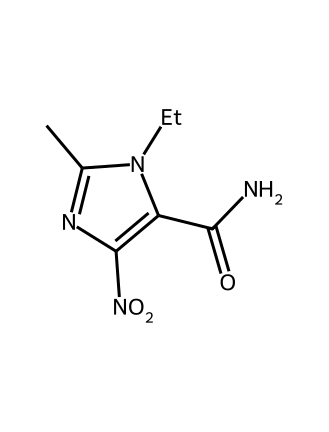 CCn1c(C)nc([N+](=O)[O-])c1C(N)=O